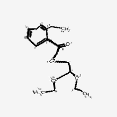 CCOC(COC(=O)c1ccccc1C)OCC